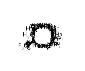 CC[C@H](C)[C@H]1C(C)NC2(CCCC2)CNCCNC=CC(CCc2ccc(C(F)(F)F)c(Cl)c2)=NC=CN(C)C=C(CC2CCCCC2)N(C)C=C2CCCN2[C@@H](C)C(C)N[C@@H]([C@@H](C)CC)CN[C@@H](CC(C)C)C(C)NCC2[C@H](CC(C)C)CN21